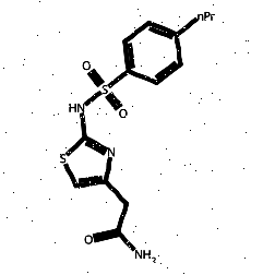 CCCc1ccc(S(=O)(=O)Nc2nc(CC(N)=O)cs2)cc1